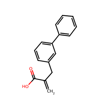 C=C(Cc1cccc(-c2ccccc2)c1)C(=O)O